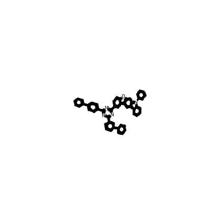 c1ccc(-c2ccc(-c3nc(-c4cccc(-c5ccccc5)c4)nc(-c4ccc5oc6cc7c(cc6c5c4)c4ccccc4n7-c4ccccc4)n3)cc2)cc1